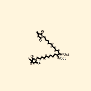 C=C1CC(=O)N(CCCCCCCCCC(CCCCCCCC)C(CCCCCCCC)CCCCCCCCCN2C(=O)CC(C)(C)C2=O)C1=O